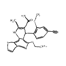 CCOc1nc2ccsc2c2c1C(c1ccc(C#N)cc1OC)C(C(N)=O)=C(C)N2